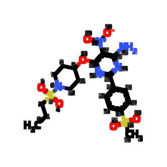 CCCS(=O)(=O)N1CCC(Oc2nc(-c3ccc(S(C)(=O)=O)cc3)nc(N)c2[N+](=O)[O-])CC1